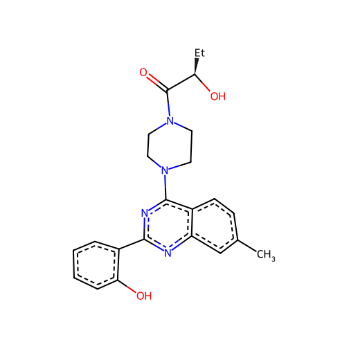 CC[C@@H](O)C(=O)N1CCN(c2nc(-c3ccccc3O)nc3cc(C)ccc23)CC1